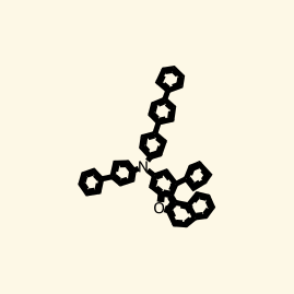 c1ccc(-c2ccc(-c3ccc(N(c4ccc(-c5ccccc5)cc4)c4cc(-c5ccccc5)c5c(c4)oc4ccc6ccccc6c45)cc3)cc2)cc1